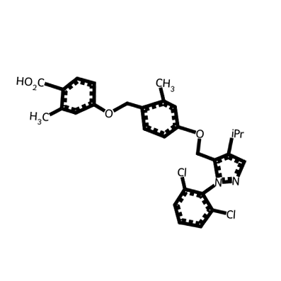 Cc1cc(OCc2c(C(C)C)cnn2-c2c(Cl)cccc2Cl)ccc1COc1ccc(C(=O)O)c(C)c1